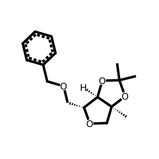 CC1(C)O[C@@H]2[C@@H](COCc3ccccc3)OC[C@]2(C)O1